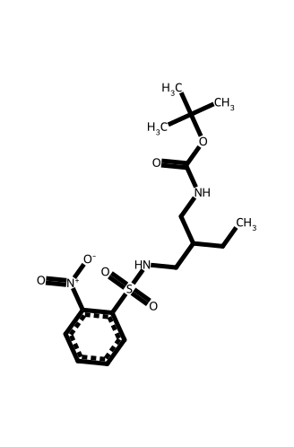 CCC(CNC(=O)OC(C)(C)C)CNS(=O)(=O)c1ccccc1[N+](=O)[O-]